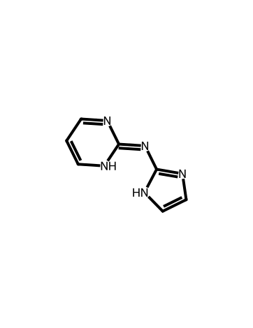 c1cnc(=Nc2ncc[nH]2)[nH]c1